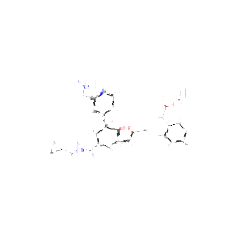 CC(C)(C)OC(=O)Cc1ccccc1OCc1cc2cc(CNCC3CC3)cc(-c3cccc(CN)c3)c2o1